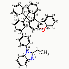 CCc1nc2ccccc2n1-c1ccc(-c2ccc3c(c2)C2(c4ccccc4-3)c3ccccc3-c3c2ccc2oc4ccccc4c32)cc1